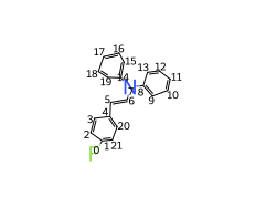 Fc1ccc(C=CN(c2ccccc2)c2ccccc2)cc1